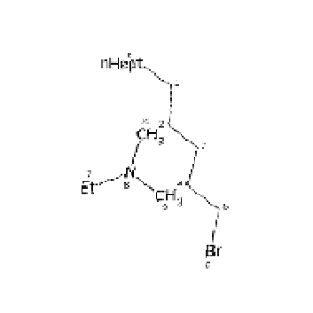 CCCCCCCCCCCCBr.CCN(C)C